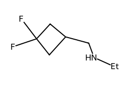 CCNCC1CC(F)(F)C1